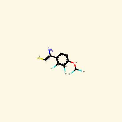 N/C(=C\S)c1ccc(OC(F)F)c(F)c1F